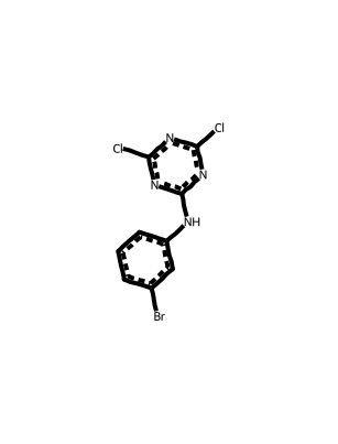 Clc1nc(Cl)nc(Nc2cccc(Br)c2)n1